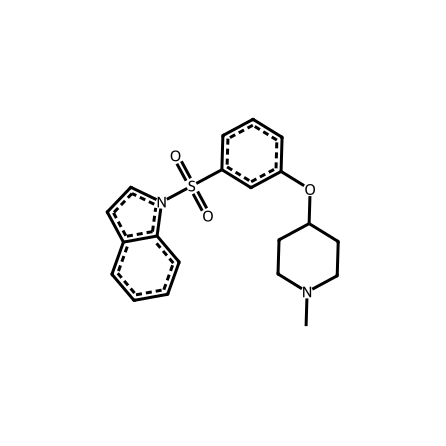 CN1CCC(Oc2cccc(S(=O)(=O)n3ccc4ccccc43)c2)CC1